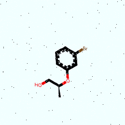 C[C@@H](CO)Oc1cccc(Br)c1